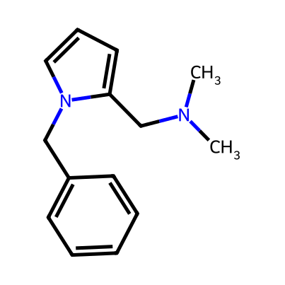 CN(C)Cc1cccn1Cc1ccccc1